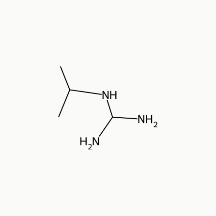 CC(C)NC(N)N